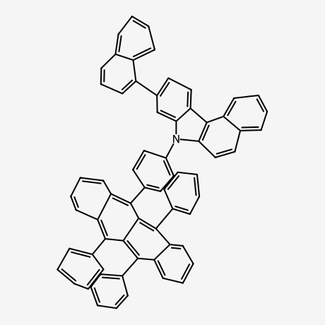 c1ccc(-c2c3ccccc3c(-c3ccccc3)c3c(-c4ccc(-n5c6cc(-c7cccc8ccccc78)ccc6c6c7ccccc7ccc65)cc4)c4ccccc4c(-c4ccccc4)c23)cc1